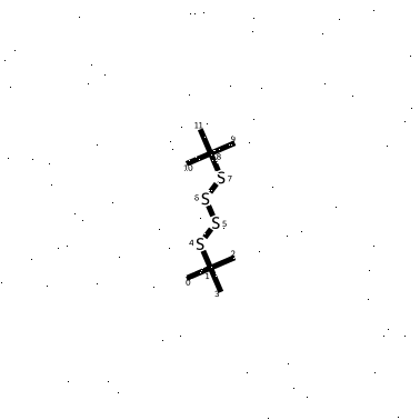 CC(C)(C)SSSSC(C)(C)C